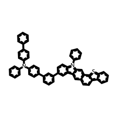 c1ccc(-c2ccc(N(c3ccccc3)c3ccc(-c4cccc(-c5ccc6c(c5)c5cc7ccc8c9ccccc9sc8c7cc5n6-c5ccccc5)c4)cc3)cc2)cc1